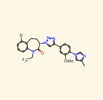 COc1cc(-c2cn([C@@H]3CCc4c(Br)cccc4N(CC(F)(F)F)C3=O)nn2)ccc1-n1cnc(C)c1